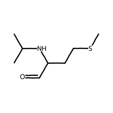 CSCCC(C=O)NC(C)C